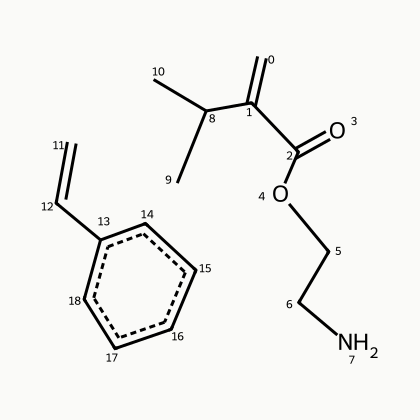 C=C(C(=O)OCCN)C(C)C.C=Cc1ccccc1